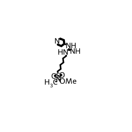 CON(C)S(=O)(=O)CCCCCCNC(=N)Nc1ccncc1